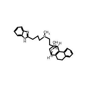 CN(CCCc1nc2ccccc2[nH]1)CC[C@]1(O)C[C@H]2CC[C@@H]1C1=C2CCc2ccccc21